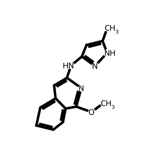 COc1nc(Nc2cc(C)[nH]n2)cc2ccccc12